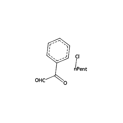 CCCCCCl.O=CC(=O)c1ccccc1